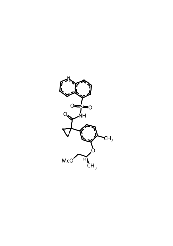 COC[C@H](C)Oc1cc(C2(C(=O)NS(=O)(=O)c3cccc4ncccc34)CC2)ccc1C